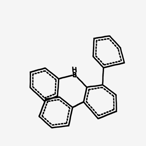 B(c1ccccc1)c1c(-c2ccccc2)cccc1-c1ccccc1